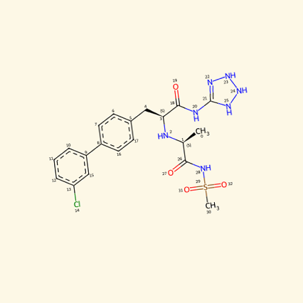 C[C@H](N[C@@H](Cc1ccc(-c2cccc(Cl)c2)cc1)C(=O)NC1=NNNN1)C(=O)NS(C)(=O)=O